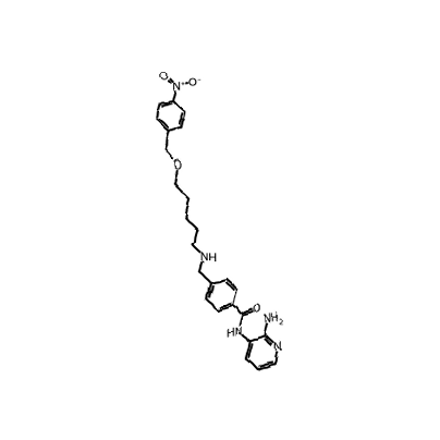 Nc1ncccc1NC(=O)c1ccc(CNCCCCCOCc2ccc([N+](=O)[O-])cc2)cc1